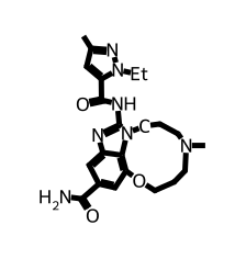 CCn1nc(C)cc1C(=O)Nc1nc2cc(C(N)=O)cc3c2n1CCCN(C)CCCO3